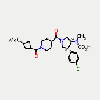 COC1CC(C(=O)N2CCC(C(=O)N3C[C@@H](N(C)C(=O)O)[C@H](c4ccc(Cl)cc4)C3)CC2)C1